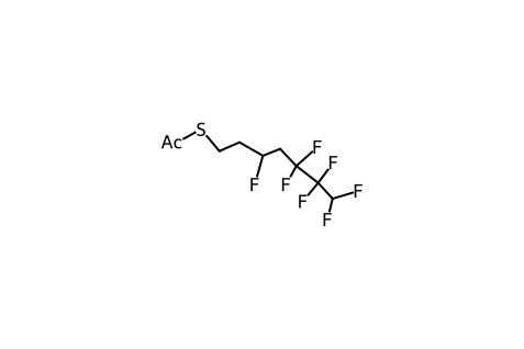 CC(=O)SCCC(F)CC(F)(F)C(F)(F)C(F)F